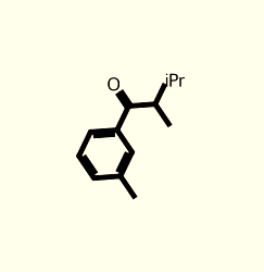 Cc1cccc(C(=O)C(C)C(C)C)c1